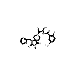 CC(C)C(NC(=O)c1cc(C(F)(F)F)ccc1F)C(=O)N1CCC2(CC1)C(=O)N(C)C(=O)N2Cc1ncccn1